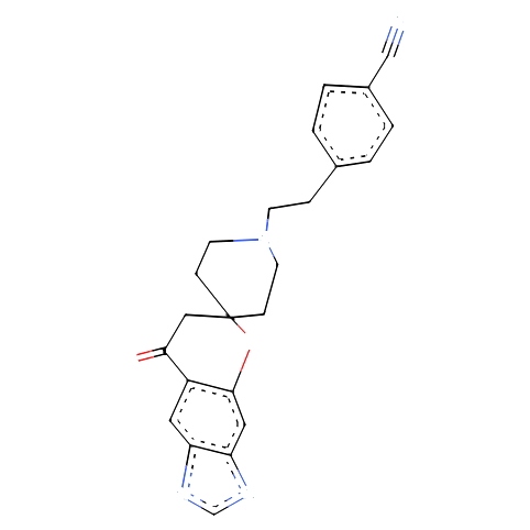 N#Cc1ccc(CCN2CCC3(CC2)CC(=O)c2cc4[nH]cnc4cc2O3)cc1